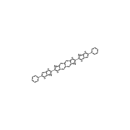 c1ccc(-c2cc3sc(-c4nc5cc6cc7sc(-c8nc9sc(-c%10ccccc%10)cc9s8)nc7cc6cc5s4)nc3s2)cc1